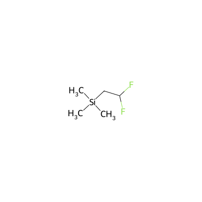 C[Si](C)(C)CC(F)F